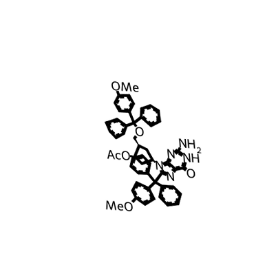 COc1ccc(C(OC[C@H]2C[C@@H](n3c(C(c4ccccc4)(c4ccccc4)c4ccc(OC)cc4)nc4c(=O)[nH]c(N)nc43)C[C@H]2OC(C)=O)(c2ccccc2)c2ccccc2)cc1